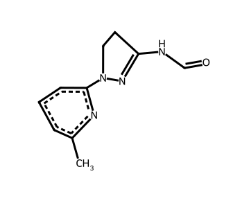 Cc1cccc(N2CCC(NC=O)=N2)n1